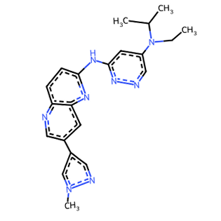 CCN(c1cnnc(Nc2ccc3ncc(-c4cnn(C)c4)cc3n2)c1)C(C)C